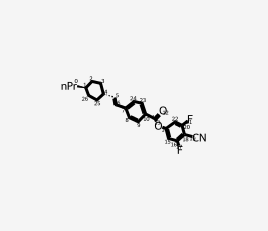 CCC[C@H]1CC[C@H](C=Cc2ccc(C(=O)Oc3cc(F)c(C#N)c(F)c3)cc2)CC1